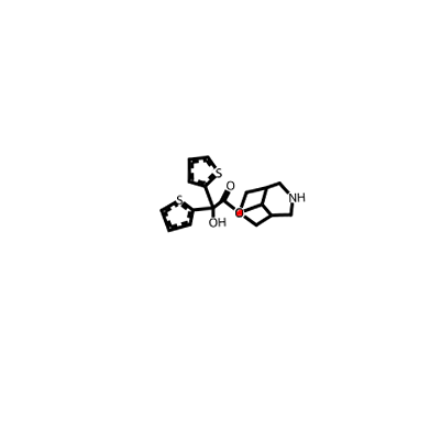 O=C(OC1C2CNCC1COC2)C(O)(c1cccs1)c1cccs1